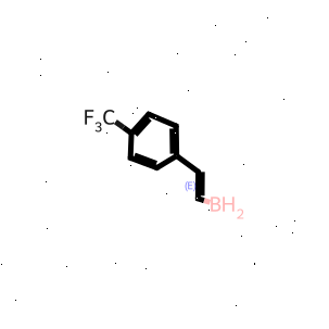 B/C=C/c1ccc(C(F)(F)F)cc1